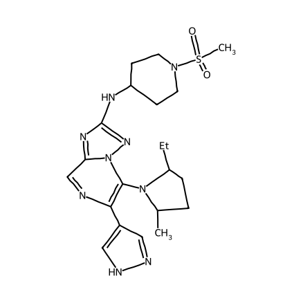 CCC1CCC(C)N1c1c(-c2cn[nH]c2)ncc2nc(NC3CCN(S(C)(=O)=O)CC3)nn12